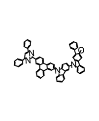 c1ccc(-c2cc(-c3ccccc3)nc(-c3ccc4c5ccc(-n6c7ccccc7c7cc(-n8c9ccccc9c9cc%10oc%11ccccc%11c%10cc98)ccc76)cc5c5ccccc5c4c3)n2)cc1